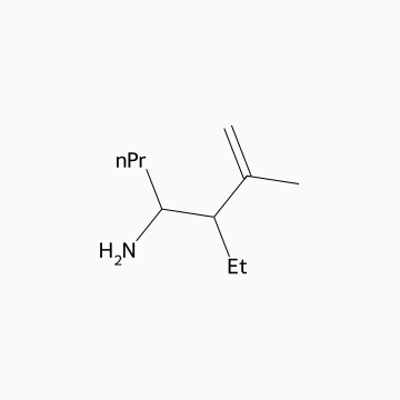 C=C(C)C(CC)C(N)CCC